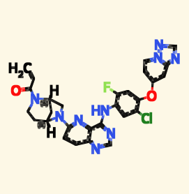 C=CC(=O)N1CC[C@@H]2C[C@H]1CN2c1ccc2ncnc(Nc3cc(Cl)c(Oc4ccn5ncnc5c4)cc3F)c2n1